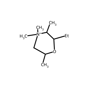 CCC1OC(C)C[N+](C)(C)C1C